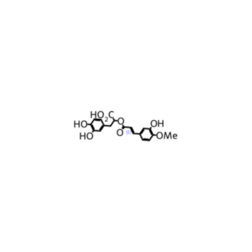 COc1ccc(/C=C/C(=O)OC(Cc2ccc(O)c(O)c2)C(=O)O)cc1O